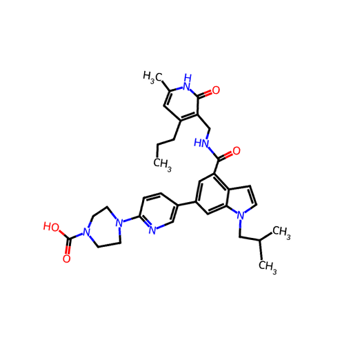 CCCc1cc(C)[nH]c(=O)c1CNC(=O)c1cc(-c2ccc(N3CCN(C(=O)O)CC3)nc2)cc2c1ccn2CC(C)C